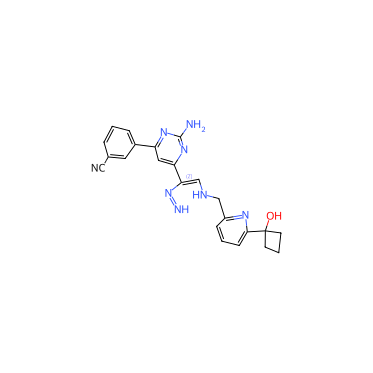 N#Cc1cccc(-c2cc(/C(=C/NCc3cccc(C4(O)CCC4)n3)N=N)nc(N)n2)c1